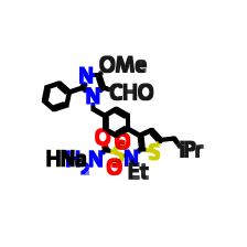 CCN(c1sc(CC(C)C)cc1-c1ccc(Cn2c(-c3ccccc3)nc(OC)c2C=O)cc1)S(=O)(=O)C(N)=O.[NaH]